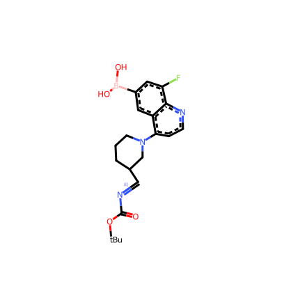 CC(C)(C)OC(=O)/N=C/C1CCCN(c2ccnc3c(F)cc(B(O)O)cc23)C1